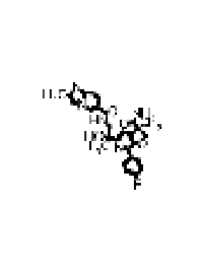 Cc1cn2cc(C(=O)NCC(O)(c3cc4c(c(-c5ccc(F)cc5)n3)OC[C@]4(C)C(N)=O)C(F)(F)F)ccc2n1